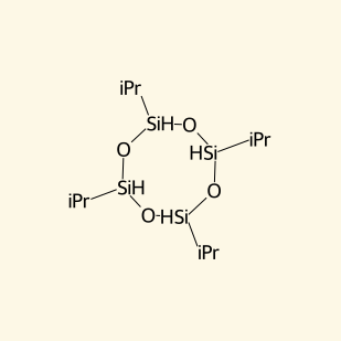 CC(C)[SiH]1O[SiH](C(C)C)O[SiH](C(C)C)O[SiH](C(C)C)O1